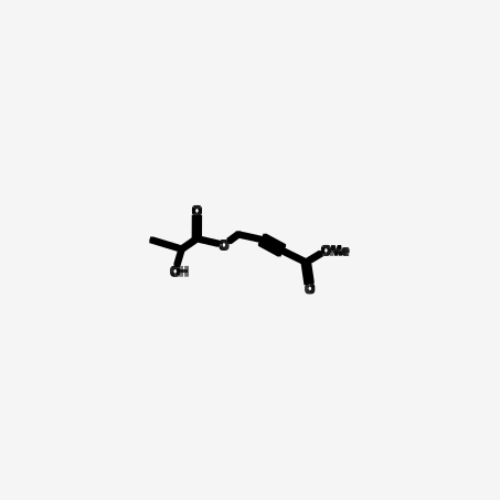 COC(=O)C#CCOC(=O)C(C)O